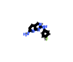 Nc1ccc2cnc(Nc3ccc(F)cc3)nc2n1